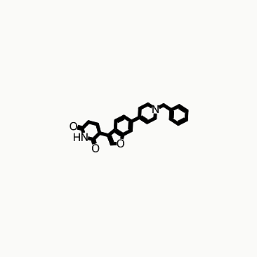 O=C1CCC(c2coc3cc(C4=CCN(Cc5ccccc5)CC4)ccc23)C(=O)N1